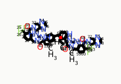 C=C(CC(C)Cc1ccc(C2(CC(C)C)NC(=N)N(Cc3ccc(C(F)(F)F)c(C(=O)N4Cc5nccnc5C4)c3)C2=O)cc1)[C@]1(c2ccccc2)NC(=N)N([C@H](C)c2ccc(C(F)(F)F)c(C(=O)N3Cc4nccnc4C3)c2)C1=O